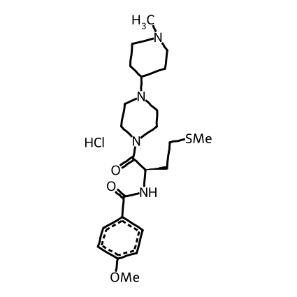 COc1ccc(C(=O)N[C@H](CCSC)C(=O)N2CCN(C3CCN(C)CC3)CC2)cc1.Cl